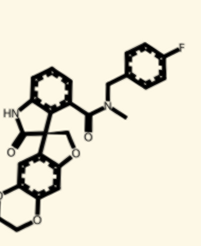 CN(Cc1ccc(F)cc1)C(=O)c1cccc2c1[C@@]1(COc3cc4c(cc31)OCCO4)C(=O)N2